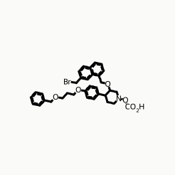 O=C(O)ON1CCC(c2ccc(OCCCOCc3ccccc3)cc2)C(OCc2cccc3ccc(CBr)cc23)C1